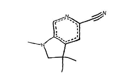 CN1CC(C)(C)c2cc(C#N)ncc21